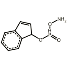 NO[PH](=O)OC1C=Cc2ccccc21